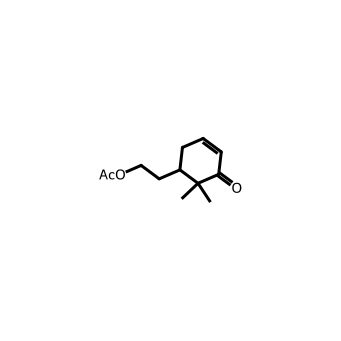 CC(=O)OCCC1CC=CC(=O)C1(C)C